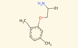 CCC(N)COc1cc(C)ccc1C